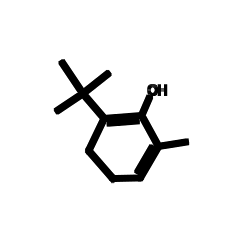 CC1=C[CH]CC(C(C)(C)C)=C1O